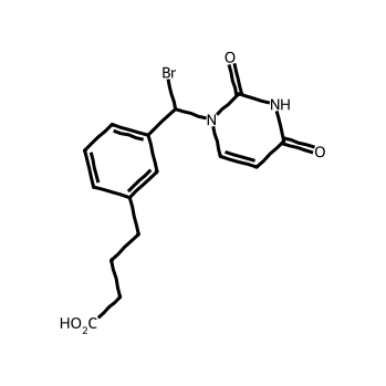 O=C(O)CCCc1cccc(C(Br)n2ccc(=O)[nH]c2=O)c1